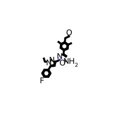 C=C(/N=C(\ON)c1cc(-c2ccc(F)cc2)n(CC)n1)c1cc(C)c(CC=O)c(C)c1